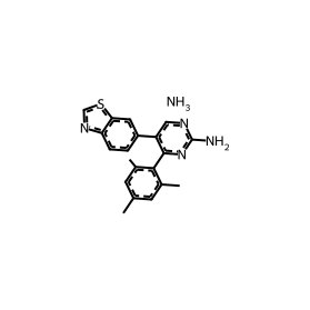 Cc1cc(C)c(-c2nc(N)ncc2-c2ccc3ncsc3c2)c(C)c1.N